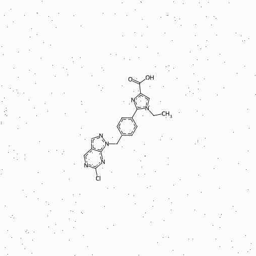 CCn1cc(C(=O)O)nc1-c1ccc(Cn2ncc3cnc(Cl)nc32)cc1